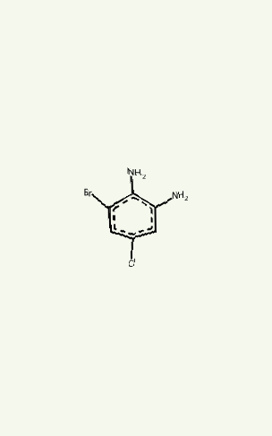 Nc1cc(Cl)cc(Br)c1N